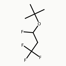 CC(C)(C)OC(F)CC(F)(F)F